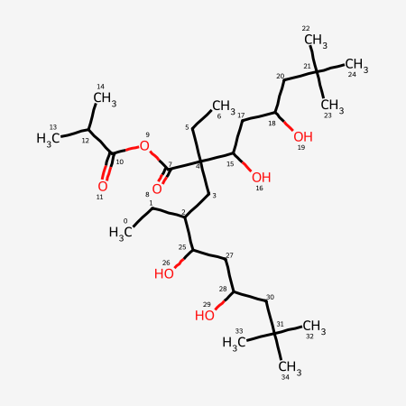 CCC(CC(CC)(C(=O)OC(=O)C(C)C)C(O)CC(O)CC(C)(C)C)C(O)CC(O)CC(C)(C)C